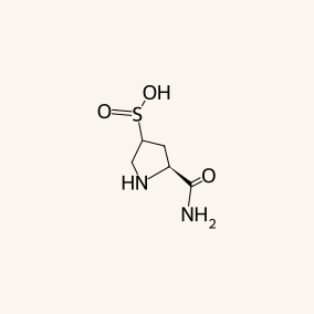 NC(=O)[C@@H]1CC(S(=O)O)CN1